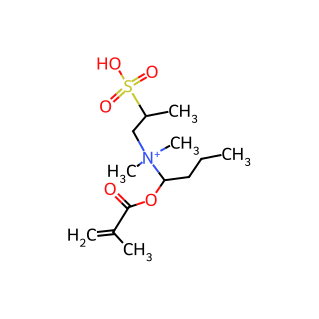 C=C(C)C(=O)OC(CCC)[N+](C)(C)CC(C)S(=O)(=O)O